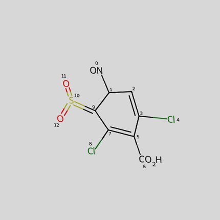 O=NC1C=C(Cl)C(C(=O)O)=C(Cl)C1=S(=O)=O